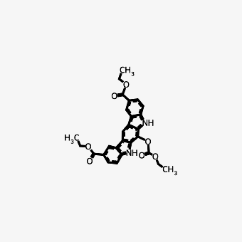 CCOC(=O)Oc1c2[nH]c3ccc(C(=O)OCC)cc3c2cc2c1[nH]c1ccc(C(=O)OCC)cc12